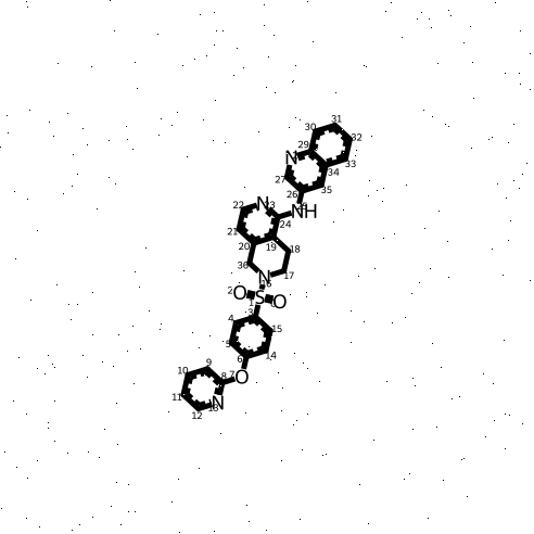 O=S(=O)(c1ccc(Oc2ccccn2)cc1)N1CCc2c(ccnc2Nc2cnc3ccccc3c2)C1